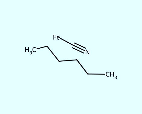 CCCCCC.N#[C][Fe]